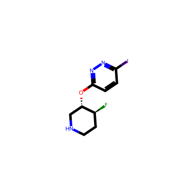 F[C@H]1CCNC[C@@H]1Oc1ccc(I)nn1